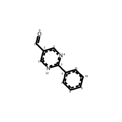 O=[C]c1cnc(-c2ccccc2)nc1